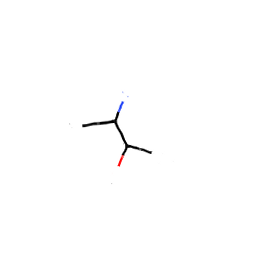 CC(=O)C(N)C(O)C(=O)O